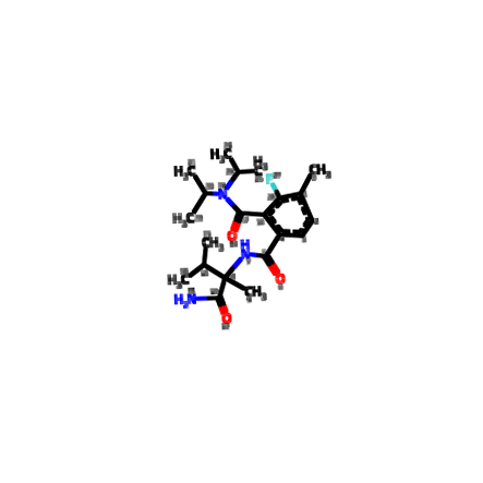 Cc1ccc(C(=O)NC(C)(C(N)=O)C(C)C)c(C(=O)N(C(C)C)C(C)C)c1F